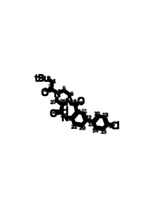 CC(C)(C)CC(=O)N1CCN2C(=O)c3cc(-c4ccc(Cl)cc4)ccc3NC(=O)C2C1